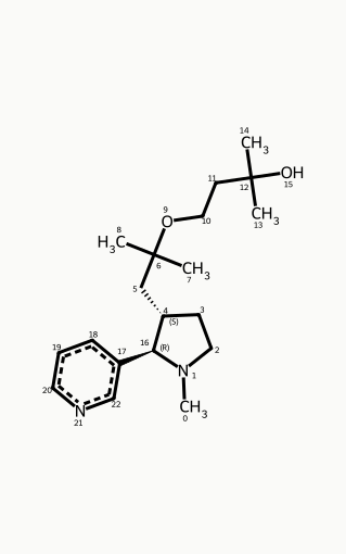 CN1CC[C@@H](CC(C)(C)OCCC(C)(C)O)[C@@H]1c1cccnc1